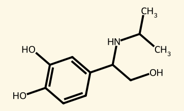 CC(C)NC(CO)c1ccc(O)c(O)c1